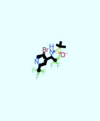 CC(C)(C)[S+]([O-])N[C@H](c1cc(C(F)(F)F)ncc1Br)C(F)(F)F